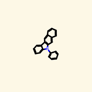 [c]1c2ccccc2cc2c3ccccc3n(-c3ccccc3)c12